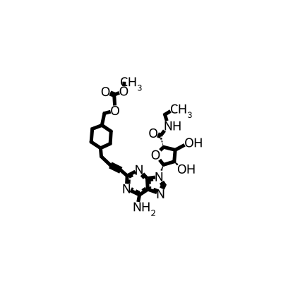 CCNC(=O)[C@H]1O[C@@H](n2cnc3c(N)nc(C#CCC4CCC(COC(=O)OC)CC4)nc32)[C@@H](O)C1O